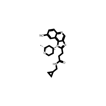 C[C@@H]1C[C@H](n2c(CCC(=O)NCC3CC3)nc3cnc4ccc(C#N)cc4c32)CCO1